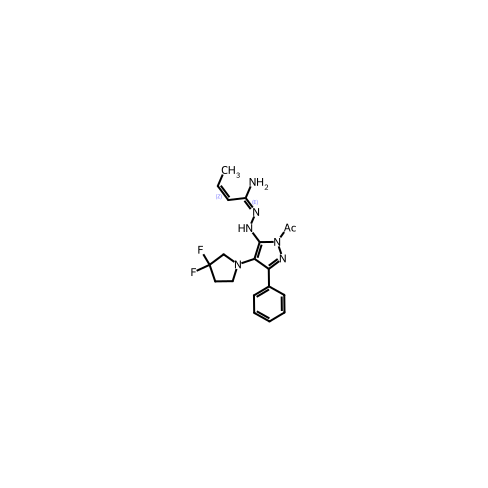 C/C=C\C(N)=N/Nc1c(N2CCC(F)(F)C2)c(-c2ccccc2)nn1C(C)=O